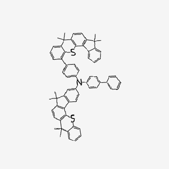 CC1(C)c2ccccc2Sc2c1ccc1c2-c2ccc(N(c3ccc(-c4ccccc4)cc3)c3ccc(-c4cccc5c4Sc4c(ccc6c4-c4ccccc4C6(C)C)C5(C)C)cc3)cc2C1(C)C